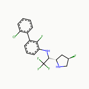 Fc1c(NC([C@@H]2C[C@@H](F)CN2)C(F)(F)F)cccc1-c1ccccc1Cl